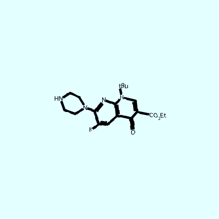 CCOC(=O)c1cn(C(C)(C)C)c2nc(N3CCNCC3)c(F)cc2c1=O